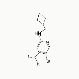 FC(F)c1cc(NCC2CCC2)ncc1Br